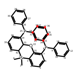 CS1(C)c2cccc(P(c3ccccc3)c3ccccc3)c2OC2C(P(c3ccccc3)c3ccccc3)=CC=CC21